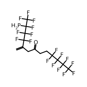 C=C(CC(=O)CCC(F)(F)C(F)(F)C(F)(F)C(F)(F)F)C(F)(F)C(F)(F)C(F)(P)C(F)(F)F